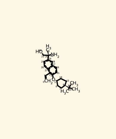 C=Cc1c(O[C@H]2CC[C@H](C(C)(C)C)CC2)ccc2cc([C@@](C)(N)CO)ccc12